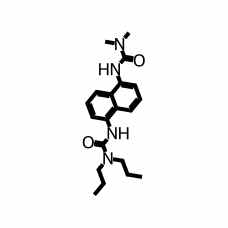 CCCN(CCC)C(=O)Nc1cccc2c(NC(=O)N(C)C)cccc12